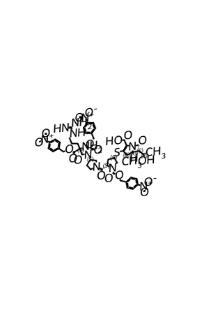 C[C@@H](O)[C@H]1C(=O)N2C(C(=O)O)=C(S[C@H]3C[C@@H](C(=O)N4CC[C@H](N(C(=O)OCc5ccc([N+](=O)[O-])cc5)C(=O)[C@@](N)(CCCNC(=N)N)C(=O)OCc5ccc([N+](=O)[O-])cc5)C4)N(C(=O)OCc4ccc([N+](=O)[O-])cc4)C3)[C@H](C)[C@@H]12